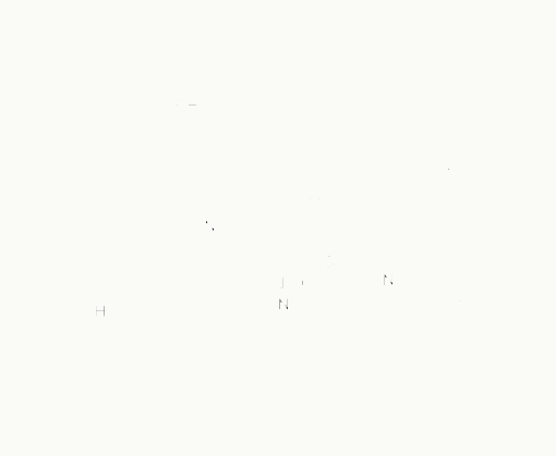 Cc1ccc(N(c2ccc(C)cc2)c2cc3c4c(c2)N(C2CCC2)c2cccc5c2[Si]4(C)c2c(cc(C4CC4)cc2N5C2CCC2)O3)cc1